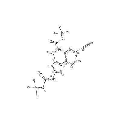 CC(NC(=O)OC(C)(C)C)c1nc(NC(=O)OC(C)(C)C)nn1-c1ccc(C#N)cn1